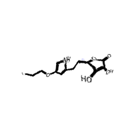 O=C1O/C(=C/Cc2cc(OCCF)c[nH]2)C(O)=C1O